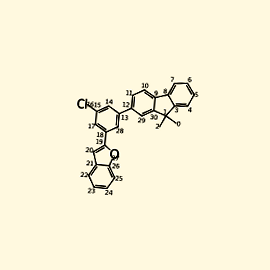 CC1(C)c2ccccc2-c2ccc(-c3cc(Cl)cc(-c4cc5ccccc5o4)c3)cc21